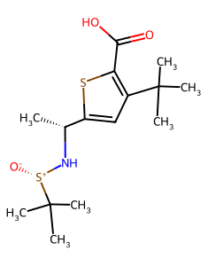 C[C@@H](N[S@@+]([O-])C(C)(C)C)c1cc(C(C)(C)C)c(C(=O)O)s1